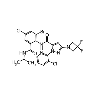 CC(C)NC(=O)c1cc(Cl)cc(Br)c1NC(=O)c1cc(N2CC(F)(F)C2)nn1-c1ncccc1Cl